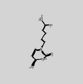 O=c1ccn(CCCCC(O)O)c(=O)[nH]1